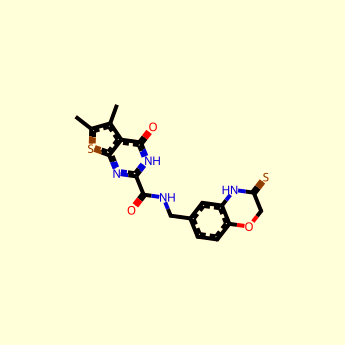 Cc1sc2nc(C(=O)NCc3ccc4c(c3)NC(=S)CO4)[nH]c(=O)c2c1C